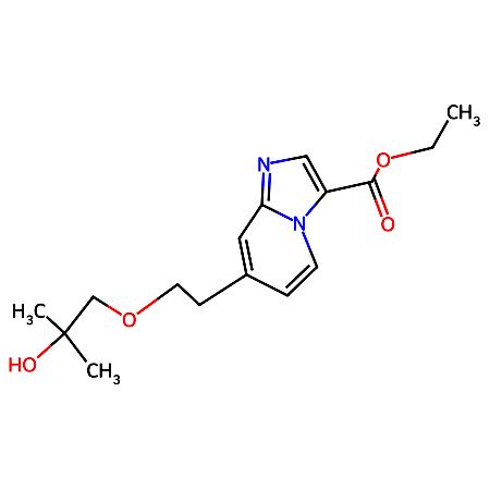 CCOC(=O)c1cnc2cc(CCOCC(C)(C)O)ccn12